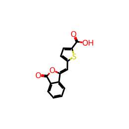 O=C(O)c1ccc(/C=C2\OC(=O)c3ccccc32)s1